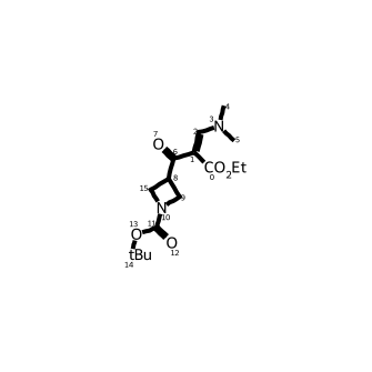 CCOC(=O)/C(=C\N(C)C)C(=O)C1CN(C(=O)OC(C)(C)C)C1